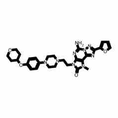 Cn1c(=O)n(CCN2CCN(c3ccc(OC4CCOCC4)cc3)CC2)c2nc(N)n3nc(-c4ccco4)nc3c21